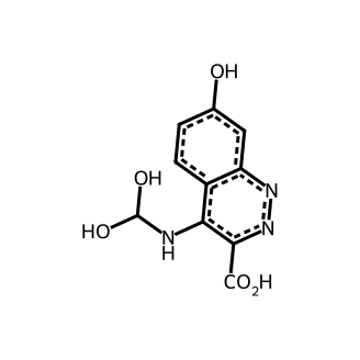 O=C(O)c1nnc2cc(O)ccc2c1NC(O)O